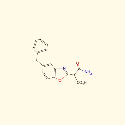 NC(=O)C(C(=O)O)c1nc2cc(Cc3ccccc3)ccc2o1